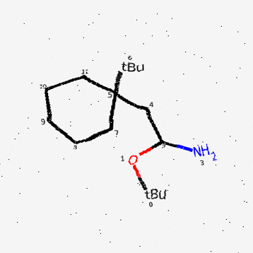 CC(C)(C)OC(N)CC1(C(C)(C)C)CCCCC1